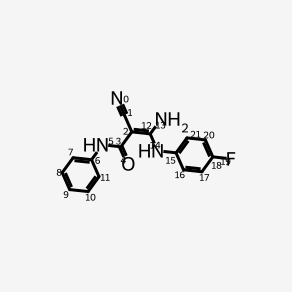 N#CC(C(=O)Nc1ccccc1)=C(N)Nc1ccc(F)cc1